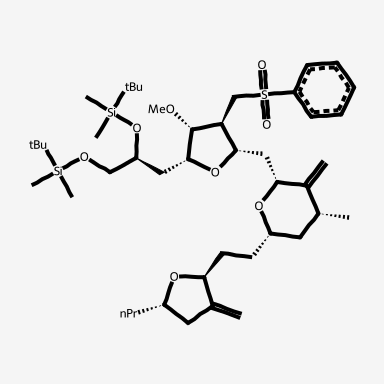 [CH2]CC[C@H]1CC(=C)[C@H](CC[C@H]2C[C@@H](C)C(=C)[C@@H](C[C@@H]3O[C@H](C[C@@H](CO[Si](C)(C)C(C)(C)C)O[Si](C)(C)C(C)(C)C)[C@H](OC)[C@H]3CS(=O)(=O)c3ccccc3)O2)O1